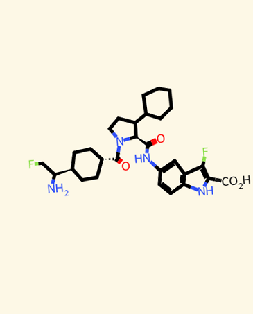 NC(CF)[C@H]1CC[C@H](C(=O)N2CCC(C3CCCCC3)[C@H]2C(=O)Nc2ccc3[nH]c(C(=O)O)c(F)c3c2)CC1